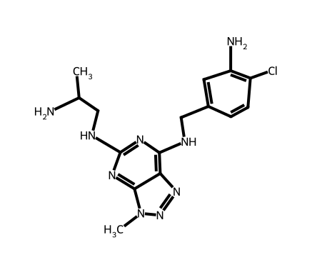 CC(N)CNc1nc(NCc2ccc(Cl)c(N)c2)c2nnn(C)c2n1